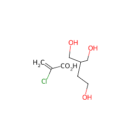 C=C(Cl)C(=O)O.OCCC(CO)CO